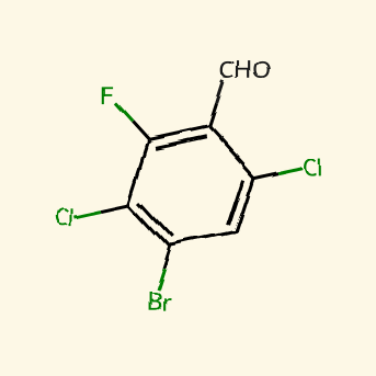 O=Cc1c(Cl)cc(Br)c(Cl)c1F